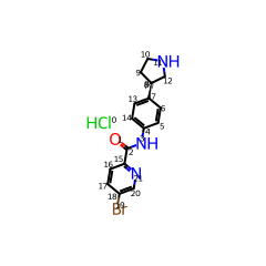 Cl.O=C(Nc1ccc([C@H]2CCNC2)cc1)c1ccc(Br)cn1